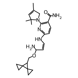 CC1=CC(C)(C)N(c2nc(N/C=C\C(N)OCC3C4(CC4)C34CC4)ccc2C(N)=O)C1